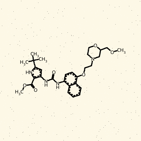 COCC1CN(CCOc2ccc(NC(=O)Nc3cc(C(C)(C)C)[nH]c3C(=O)OC)c3ccccc23)CCO1